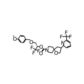 COc1ccc(COC[C@@H](OC(=O)N2CCC3(CC2)CC(c2cccc(C(F)(F)F)n2)CO3)C(F)(F)F)cc1